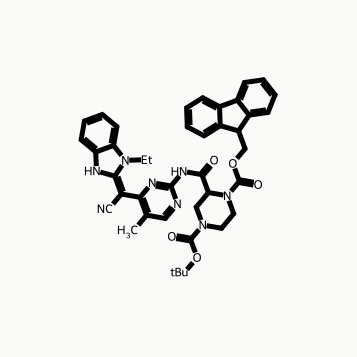 CCN1C(=C(C#N)c2nc(NC(=O)C3CN(C(=O)OC(C)(C)C)CCN3C(=O)OCC3c4ccccc4-c4ccccc43)ncc2C)Nc2ccccc21